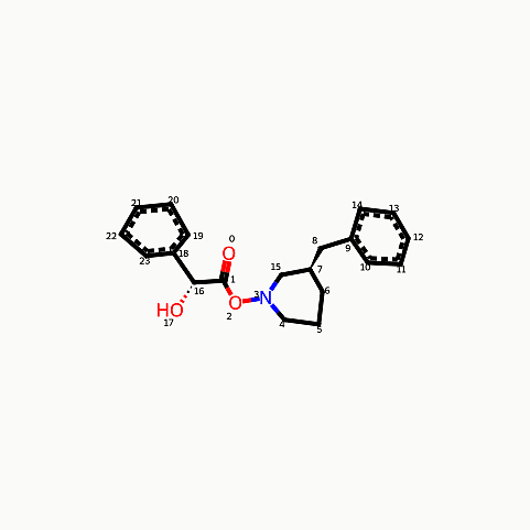 O=C(ON1CCC[C@H](Cc2ccccc2)C1)[C@H](O)c1ccccc1